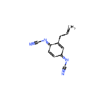 C=CCC1=CC(=NC#N)C=CC1=NC#N